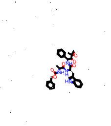 CC(NC(=O)OCc1ccccc1)C(=O)N[C@@H](Cc1c[nH]c2ccccc12)C(=O)N[C@H](C(=O)C1(C)CO1)c1ccccc1